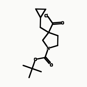 CC(C)(C)OC(=O)N1CCC(CC2CC2)(C(=O)Cl)C1